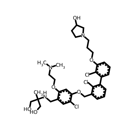 CN(C)CCOc1cc(OCc2cccc(-c3cccc(OCCCN4CCC(O)C4)c3Cl)c2Cl)c(Cl)cc1CNC(C)(CO)CO